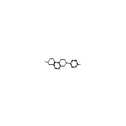 CCC1CCc2c(ccc3c2CCC(c2ccc(C#N)c(F)c2)C3)C1